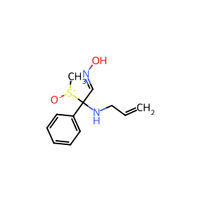 C=CCNC(C=NO)(c1ccccc1)[S+](C)[O-]